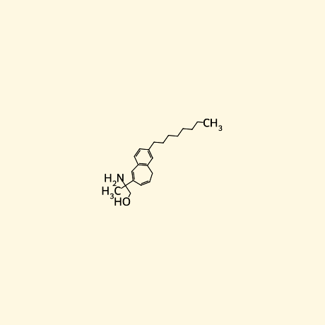 CCCCCCCCc1ccc2c(c1)CC=CC(C(C)(N)CO)=C2